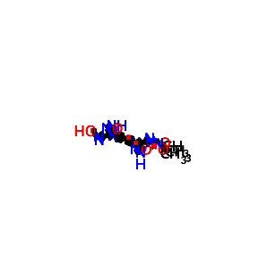 CC(C)(C)OC(=O)N1CC(n2cc(-c3cn(-c4ccc(-c5ccc(-n6cc(-c7cnn(CCO)c7)c7nc[nH]c(=O)c76)cc5)cc4)c4nc[nH]c(=O)c34)cn2)C1